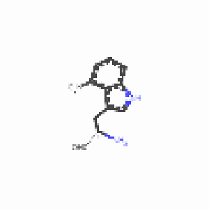 N[C@H](C=O)Cc1c[nH]c2cccc([N+](=O)[O-])c12